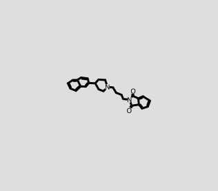 O=C1c2ccccc2C(=O)N1CCCCN1CCC(c2ccc3ccccc3c2)CC1